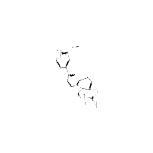 COc1cc(-c2ccc3c(c2)CC=C[C@]3(C=O)NC(=O)O)ccn1